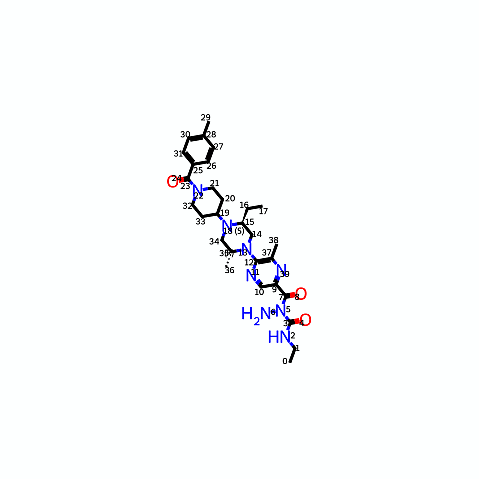 CCNC(=O)N(N)C(=O)c1cnc(N2C[C@H](CC)N(C3CCN(C(=O)c4ccc(C)cc4)CC3)C[C@H]2C)c(C)n1